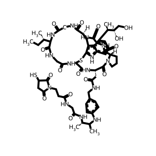 CC[C@H](C)C1NC(=O)CNC(=O)[C@@H]2Cc3c([nH]c4ccccc34)SC(NC(=O)CNC1=O)C(=O)N[C@@H](CC(=O)NCc1ccc(NC(C)[C@H](C)NC(=O)CNC(=O)CCN3C(=O)CC(S)C3=O)cc1)C(=O)N1CCC[C@H]1C(=O)NC([C@@H](C)[C@@H](O)CO)C(=O)N2